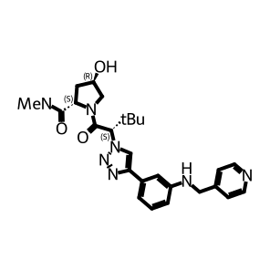 CNC(=O)[C@@H]1C[C@@H](O)CN1C(=O)[C@@H](n1cc(-c2cccc(NCc3ccncc3)c2)nn1)C(C)(C)C